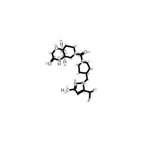 Cc1cc(C(F)F)n(CC2CCN(C(=O)N3CC[C@@H]4OCC(=O)N[C@@H]4C3)CC2)n1